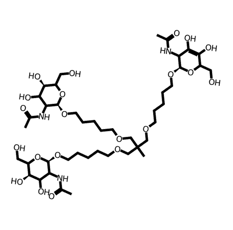 CC(=O)NC1C(O)=C(O)C(CO)O[C@H]1OCCCCCOCC(C)(COCCCCCO[C@@H]1OC(CO)[C@H](O)C(O)C1NC(C)=O)COCCCCCO[C@@H]1OC(CO)[C@H](O)C(O)C1NC(C)=O